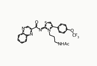 CC(=O)NCCCn1c(-c2ccc(OC(F)(F)F)cc2)cs/c1=N\C(=O)c1cnc2ccccc2n1